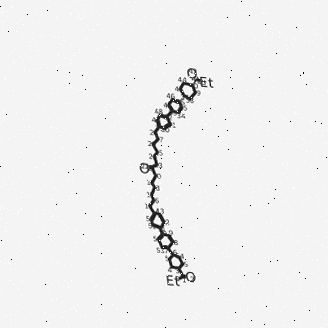 CCC(=O)C1CCC(c2ccc(-c3ccc(CCCCCCC(=O)CCCCCCc4ccc(-c5ccc([C@H]6CC[C@H](C(=O)CC)CC6)cc5)cc4)cc3)cc2)CC1